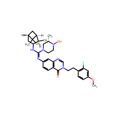 COc1ccc(CCn2cnc3cc(N=C(NC4C[C@@H]5C[C@@H]([C@H]4C)C5(C)C)N4CCN(O)[C@@H](C)C4)ccc3c2=O)c(F)c1